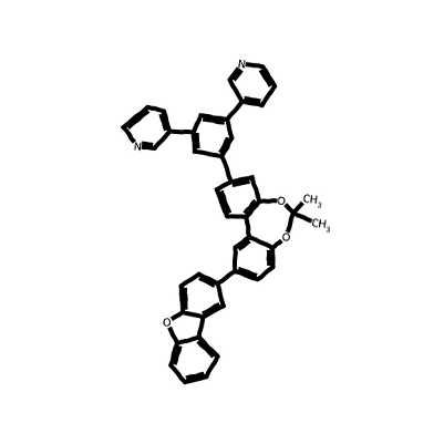 CC1(C)Oc2cc(-c3cc(-c4cccnc4)cc(-c4cccnc4)c3)ccc2-c2cc(-c3ccc4oc5ccccc5c4c3)ccc2O1